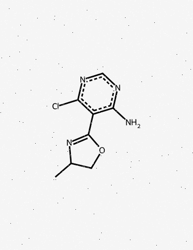 CC1COC(c2c(N)ncnc2Cl)=N1